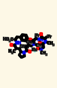 CC[C@H](C)[C@@H]([C@@H](CC(=O)N1CCC[C@H]1[C@H](OC)[C@@H](C)C(=O)N[C@@H](Cc1ccccc1)C(=O)O)OC)N(C)C(=O)[C@@H](NC(=O)C(C(C)C)N(C)C(=O)CN(C)OF)C(C)C